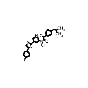 CC(C)Cc1ccc(C(C)C(=O)N(C)c2cccc(-c3nc(-c4ccc(F)cc4)cs3)c2)cc1